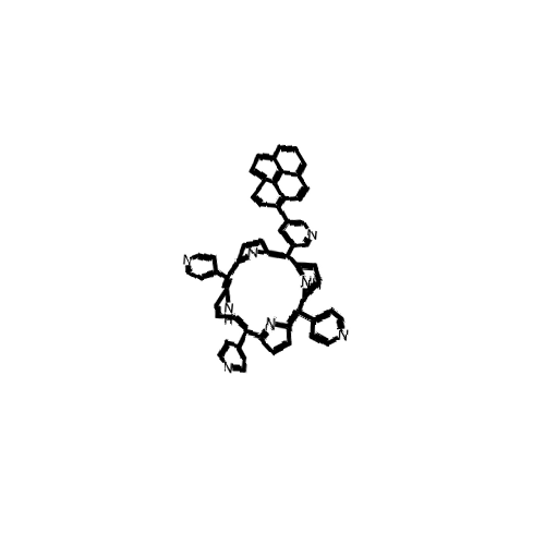 C1=Cc2nc1c(-c1ccncc1)c1ccc([nH]1)c(-c1ccncc1)c1nc(c(-c3cncc(-c4ccc5ccc6cccc7ccc4c5c67)c3)c3ccc([nH]3)c2-c2ccncc2)C=C1